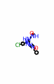 CC(=O)NCCNc1cc(N2CCN(C(=O)CC3CCCCC3)CC2)nc(-c2ccc(Cl)cc2)n1